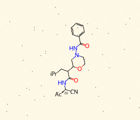 CC(=O)[C@H](C#N)NC(=O)C(CC(C)C)C1CN(NC(=O)c2ccccc2)CCO1